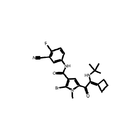 Cn1c(C(=O)C(NC(C)(C)C)=C2CCC2)cc(C(=O)Nc2ccc(F)c(C#N)c2)c1Br